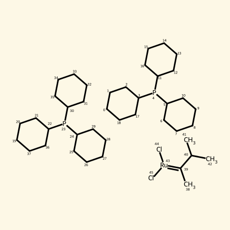 C1CCC(P(C2CCCCC2)C2CCCCC2)CC1.C1CCC(P(C2CCCCC2)C2CCCCC2)CC1.C[C](C(C)C)=[Ru]([Cl])[Cl]